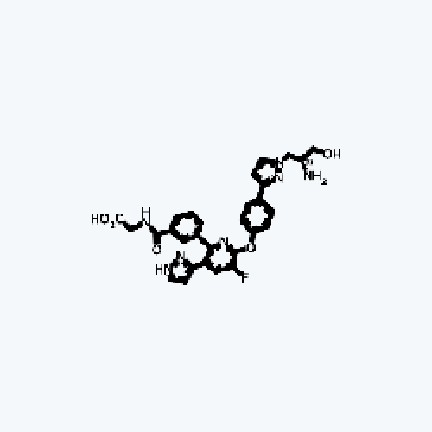 N[C@H](CO)Cn1ccc(-c2ccc(Oc3nc(-c4cccc(C(=O)NCC(=O)O)c4)c(-c4cc[nH]n4)cc3F)cc2)n1